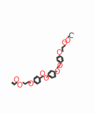 C=C=COOCCCOc1ccc(OCOc2ccc(OC(=O)c3ccc(OCCCOC(=O)C=C)cc3)cc2)cc1